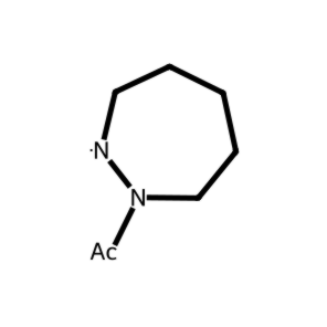 CC(=O)N1CCCCC[N]1